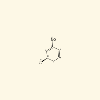 CC[C@H]1C=C(N=O)C=CC1